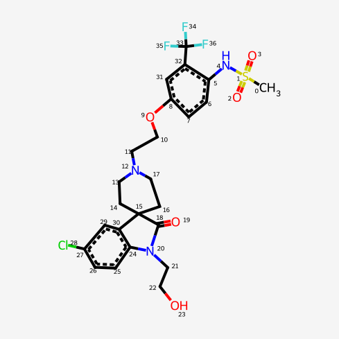 CS(=O)(=O)Nc1ccc(OCCN2CCC3(CC2)C(=O)N(CCO)c2ccc(Cl)cc23)cc1C(F)(F)F